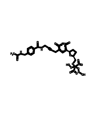 O=C(NCC#CCc1cn([C@H]2CC[C@@H](COP(OO)(OOO)(P(=O)=O)P(=O)=O)O2)c(=O)[nH]c1=O)c1ccc(CNC(=O)C(F)(F)F)cc1